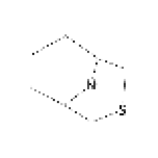 C1CC2CSCC(C1)[N]2